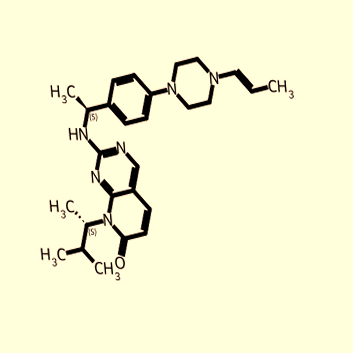 CC=CN1CCN(c2ccc([C@H](C)Nc3ncc4ccc(=O)n([C@@H](C)C(C)C)c4n3)cc2)CC1